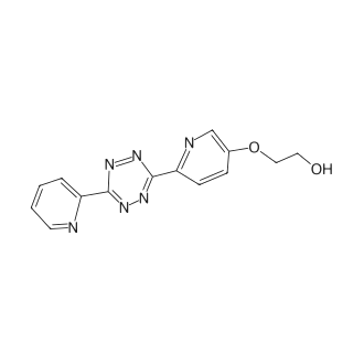 OCCOc1ccc(-c2nnc(-c3ccccn3)nn2)nc1